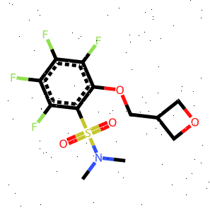 CN(C)S(=O)(=O)c1c(F)c(F)c(F)c(F)c1OCC1COC1